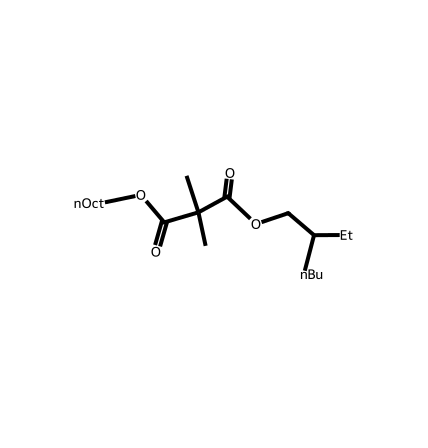 CCCCCCCCOC(=O)C(C)(C)C(=O)OCC(CC)CCCC